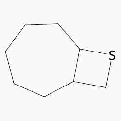 C1CCC2CSC2CC1